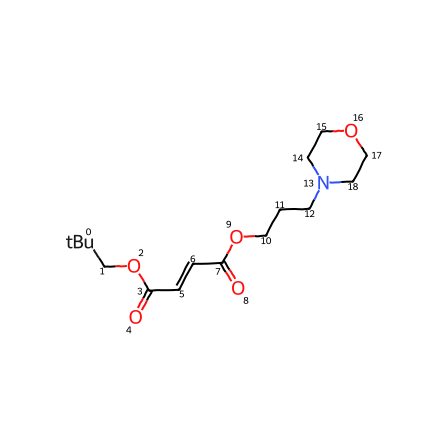 CC(C)(C)COC(=O)C=CC(=O)OCCCN1CCOCC1